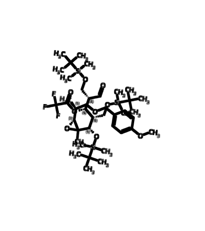 COc1ccc(COC[C@H](C)[C@H]2OC2(C)[C@@H](O[Si](C)(C)C(C)(C)C)[C@@H](CO[Si](C)(C)C(C)(C)C)[C@H](OC(=O)C(F)(F)F)[C@@H](C=O)CO[Si](C)(C)C(C)(C)C)cc1